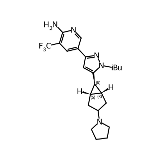 CCC(C)n1nc(-c2cnc(N)c(C(F)(F)F)c2)cc1[C@H]1[C@@H]2CC(N3CCCC3)C[C@@H]21